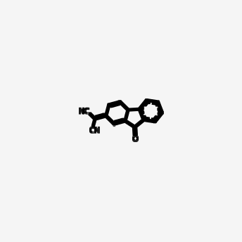 N#CC(C#N)=C1[C]=C2C(=O)c3ccccc3C2C=C1